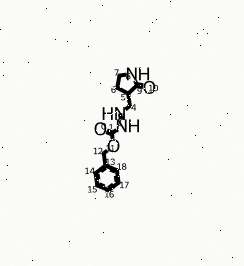 O=C(NNCC1CCNC1=O)OCc1ccccc1